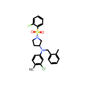 Cc1ccccc1CN(c1ccc(C#N)c(Cl)c1)[C@H]1CCN(S(=O)(=O)c2ccccc2F)C1